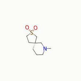 CN1CCC[C@@]2(CCS(=O)(=O)C2)C1